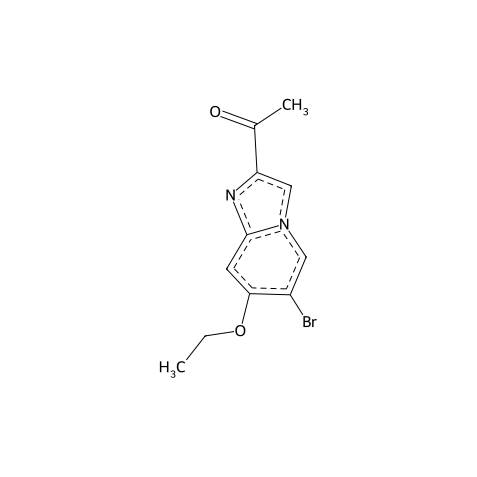 CCOc1cc2nc(C(C)=O)cn2cc1Br